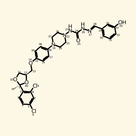 C[C@]1(c2ccc(Cl)cc2Cl)OC[C@@H](COc2ccc(N3CCN(NC(=O)NN=Cc4cccc(O)c4)CC3)cc2)O1